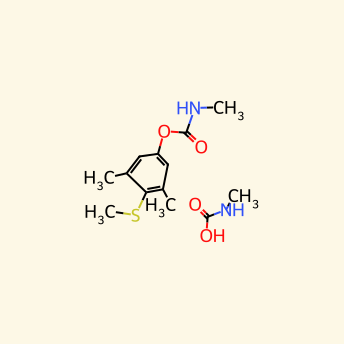 CNC(=O)O.CNC(=O)Oc1cc(C)c(SC)c(C)c1